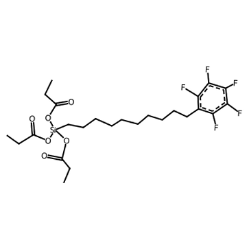 CCC(=O)O[Si](CCCCCCCCCCc1c(F)c(F)c(F)c(F)c1F)(OC(=O)CC)OC(=O)CC